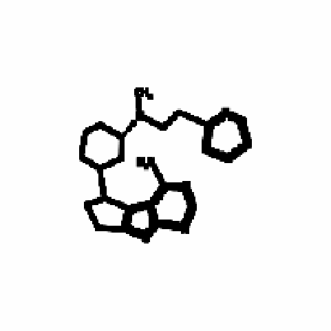 CN(CCc1ccccn1)[C@H]1CCCC(C2CCc3sc4ncnc(N)c4c32)C1